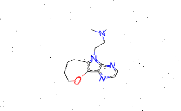 CN(C)CCn1c2c(c3nccnc31)OCCCC2